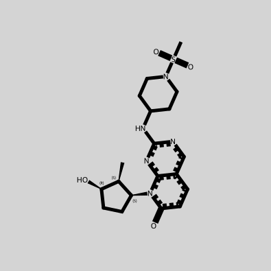 C[C@@H]1[C@H](O)CC[C@@H]1n1c(=O)ccc2cnc(NC3CCN(S(C)(=O)=O)CC3)nc21